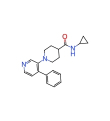 O=C(NC1CC1)C1CCN(c2cnccc2-c2ccccc2)CC1